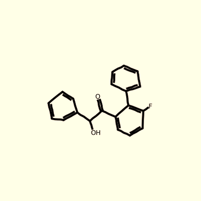 O=C(c1cccc(F)c1-c1ccccc1)C(O)c1ccccc1